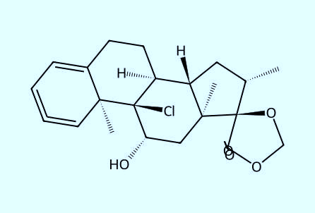 C[C@H]1C[C@H]2[C@@H]3CCC4=CC=C=C[C@]4(C)[C@@]3(Cl)[C@@H](O)C[C@]2(C)[C@]12OCOC21COCO1